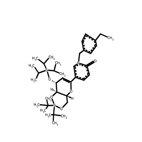 CCc1ccc(Cn2cc(C3=C[C@@H](O[Si](C(C)C)(C(C)C)C(C)C)[C@@H]4O[Si](C(C)(C)C)(C(C)(C)C)OC[C@H]4O3)ccc2=O)cc1